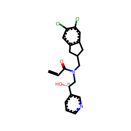 C=CC(=O)N(CC1Cc2cc(Cl)c(Cl)cc2C1)C[C@@H](O)c1cccnc1